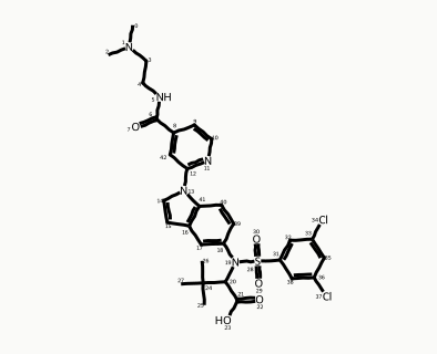 CN(C)CCNC(=O)c1ccnc(-n2ccc3cc(N(C(C(=O)O)C(C)(C)C)S(=O)(=O)c4cc(Cl)cc(Cl)c4)ccc32)c1